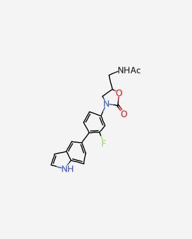 CC(=O)NCC1CN(c2ccc(-c3ccc4[nH]ccc4c3)c(F)c2)C(=O)O1